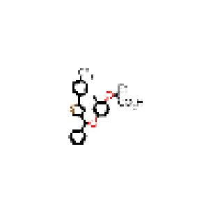 CCC(Oc1ccc(OC(c2ccccc2)c2csc(-c3ccc(C(F)(F)F)cc3)c2)cc1C)C(=O)O